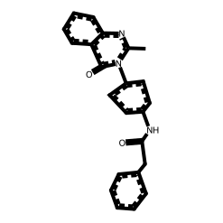 Cc1nc2ccccc2c(=O)n1-c1ccc(NC(=O)Cc2ccccc2)cc1